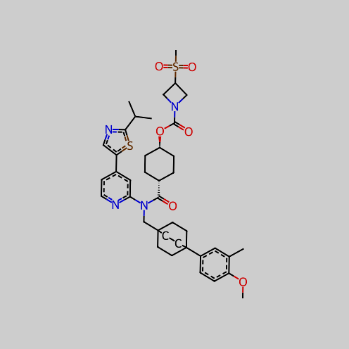 COc1ccc(C23CCC(CN(c4cc(-c5cnc(C(C)C)s5)ccn4)C(=O)[C@H]4CC[C@H](OC(=O)N5CC(S(C)(=O)=O)C5)CC4)(CC2)CC3)cc1C